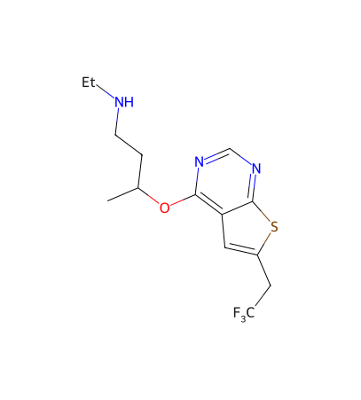 CCNCCC(C)Oc1ncnc2sc(CC(F)(F)F)cc12